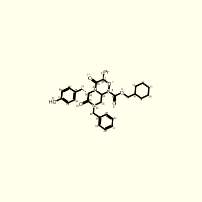 CC(C)[C@H]1ON(C(=O)OCC2CCCCC2)C2CN(Cc3ccccc3)C(=O)[C@H](Cc3ccc(O)cc3)N2C1=O